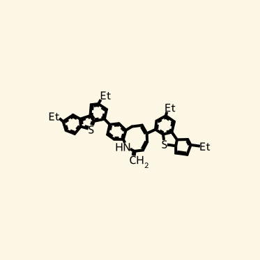 C=C1/C=C\C(c2cc(CC)cc3c2SC2C=CC(CC)=CC32)=C/Cc2cc(-c3cc(CC)cc4c3sc3ccc(CC)cc34)ccc2N1